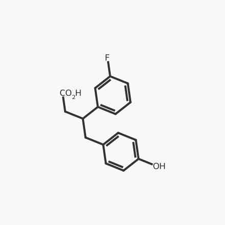 O=C(O)CC(Cc1ccc(O)cc1)c1cccc(F)c1